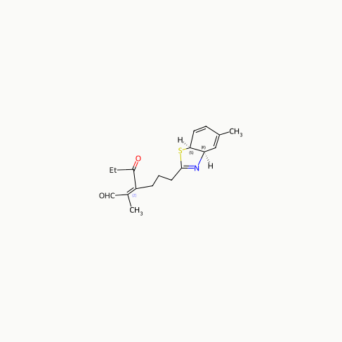 CCC(=O)/C(CCCC1=N[C@@H]2C=C(C)C=C[C@@H]2S1)=C(/C)C=O